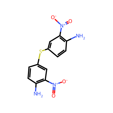 Nc1ccc(Sc2ccc(N)c([N+](=O)[O-])c2)cc1[N+](=O)[O-]